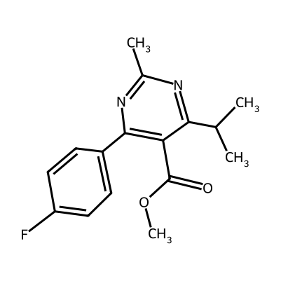 COC(=O)c1c(-c2ccc(F)cc2)nc(C)nc1C(C)C